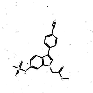 COC(=O)Cn1cc(-c2ccc(C#N)cc2)c2ccc(NS(C)(=O)=O)cc21